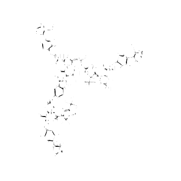 CCc1ncsc1-c1ccc(CNC(=O)[C@@H]2C[C@@H](OC(C)CC(=O)N[C@H](C(=O)N3C[C@H](O)C[C@H]3C(=O)NCc3ccc(-c4scnc4C)cc3)C(C)(C)C)CN2C(=O)[C@H](C(C)C)N2Cc3ccc(O[C@@H]4C[C@@H](C(=O)NCc5ccc(-c6scnc6C)cc5)N(C(=O)[C@@H](NC(=O)C(C)(C)C)C(C)(C)C)C4)cc3C2=O)cc1